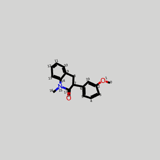 COc1cccc(C2Cc3ccccc3N(C)C2=O)c1